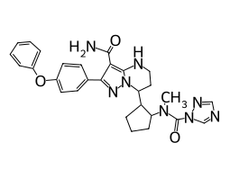 CN(C(=O)n1cncn1)C1CCCC1C1CCNc2c(C(N)=O)c(-c3ccc(Oc4ccccc4)cc3)nn21